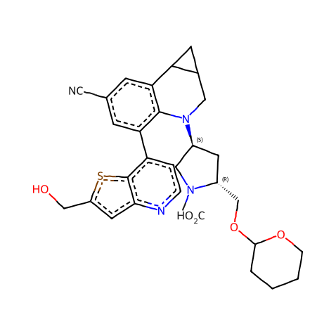 N#Cc1cc(-c2ccnc3cc(CO)sc23)c2c(c1)C1CC1CN2[C@H]1C[C@H](COC2CCCCO2)N(C(=O)O)C1